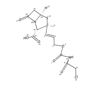 C[C@@]1(/C=C/COC(=O)NC(=O)CCl)S[C@@H]2CC(=O)N2[C@H]1C(=O)O